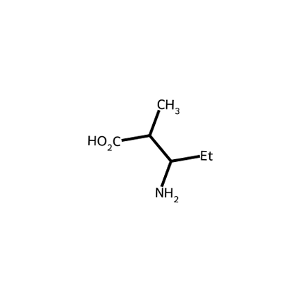 CCC(N)C(C)C(=O)O